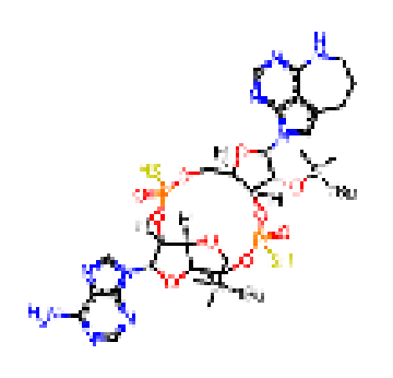 CC(C)(C)[Si](C)(C)CO[C@H]1[C@H]2OP(=O)(S)OC[C@H]3O[C@@H](n4cc5c6c(ncnc64)NCCC5)[C@H](O[Si](C)(C)C(C)(C)C)[C@@H]3OP(=O)(S)OC[C@H]1O[C@H]2n1cnc2c(N)ncnc21